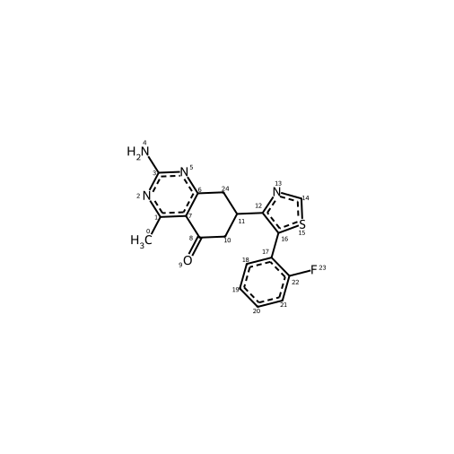 Cc1nc(N)nc2c1C(=O)CC(c1ncsc1-c1ccccc1F)C2